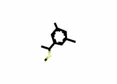 CSC(C)c1cc(C)cc(C)c1